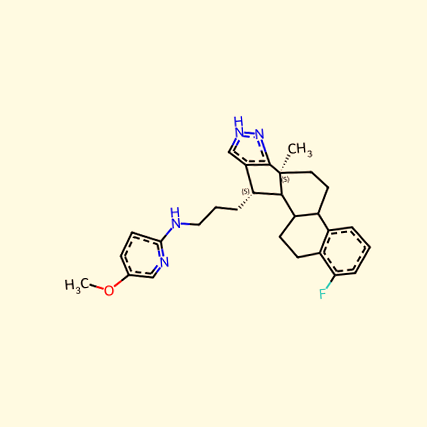 COc1ccc(NCCC[C@@H]2c3c[nH]nc3[C@@]3(C)CCC4c5cccc(F)c5CCC4C23)nc1